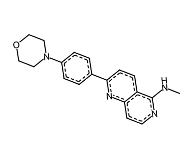 CNc1nccc2nc(-c3ccc(N4CCOCC4)cc3)ccc12